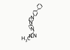 Cn1cnc(CN2CC[C@H](N3C=CN(c4ccc(-c5ccccc5)cc4)C3)C2)c1